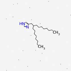 CCCCCCCCC(CCCCCCCC)Cc1c[nH]cn1